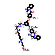 CNOCCCNC(=O)CCCCC(=O)N[C@@H](C)C(=O)N[C@@H](C)C(=O)Nc1cc(COc2cc3c(cc2OC)C(=O)N2c4ccccc4C[C@H]2C=N3)cc(COc2cc3c(cc2OC)C(=O)N2c4ccccc4C[C@H]2CN3)c1